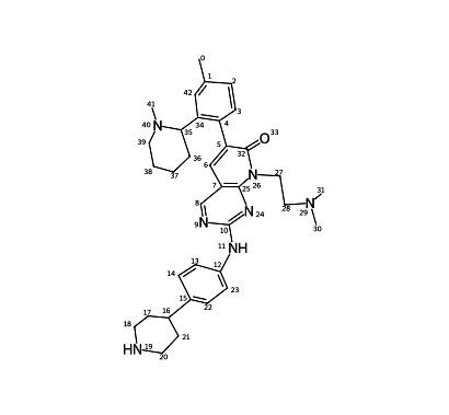 Cc1ccc(-c2cc3cnc(Nc4ccc(C5CCNCC5)cc4)nc3n(CCN(C)C)c2=O)c(C2CCCCN2C)c1